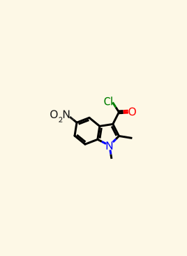 Cc1c(C(=O)Cl)c2cc([N+](=O)[O-])ccc2n1C